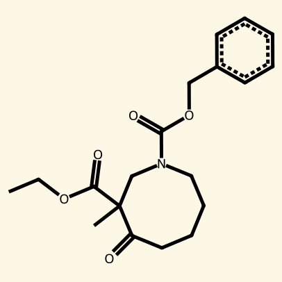 CCOC(=O)C1(C)CN(C(=O)OCc2ccccc2)CCCCC1=O